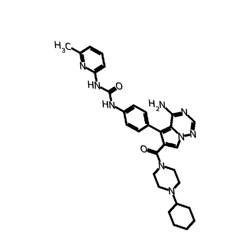 Cc1cccc(NC(=O)Nc2ccc(-c3c(C(=O)N4CCN(C5CCCCC5)CC4)cn4ncnc(N)c34)cc2)n1